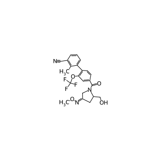 CON=C1CC(CO)N(C(=O)c2ccc(-c3cccc(C#N)c3C)c(OC(F)(F)F)c2)C1